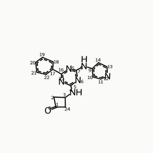 O=C1CC(Nc2nc(Nc3ccncc3)nc(-c3ccccc3)n2)C1